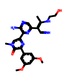 COc1cc(OC)cc(-c2nc(-c3nc(/C(C=N)=C(\C)NCCO)cnc3N)cn(C)c2=O)c1